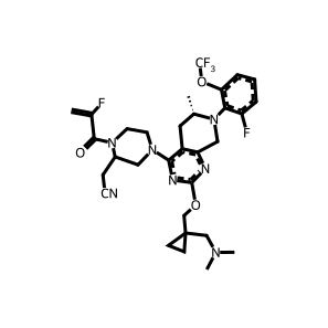 C=C(F)C(=O)N1CCN(c2nc(OCC3(CN(C)C)CC3)nc3c2C[C@H](C)N(c2c(F)cccc2OC(F)(F)F)C3)CC1CC#N